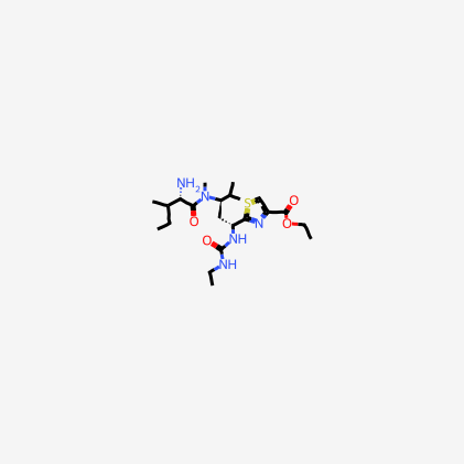 CCNC(=O)N[C@H](C[C@H](C(C)C)N(C)C(=O)[C@@H](N)C(C)CC)c1nc(C(=O)OCC)cs1